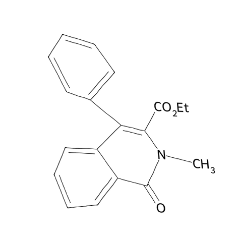 CCOC(=O)c1c(-c2ccccc2)c2ccccc2c(=O)n1C